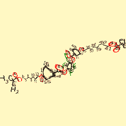 C=C(C)C(=O)OCCCCCCCOc1ccc(C(=O)Oc2c(F)c(F)c(OC(=O)c3ccc(OCCCCCCCOC(=O)C(=C)C)cc3)c(F)c2F)cc1